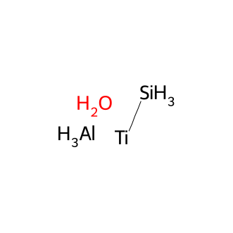 O.[AlH3].[SiH3][Ti]